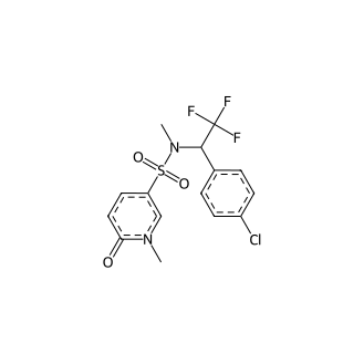 CN(C(c1ccc(Cl)cc1)C(F)(F)F)S(=O)(=O)c1ccc(=O)n(C)c1